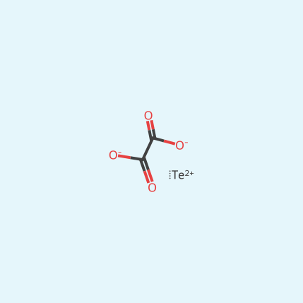 O=C([O-])C(=O)[O-].[Te+2]